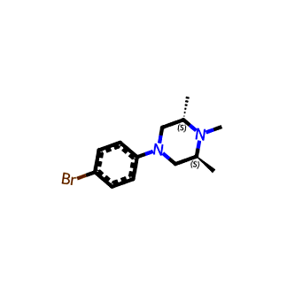 C[C@H]1CN(c2ccc(Br)cc2)C[C@H](C)N1C